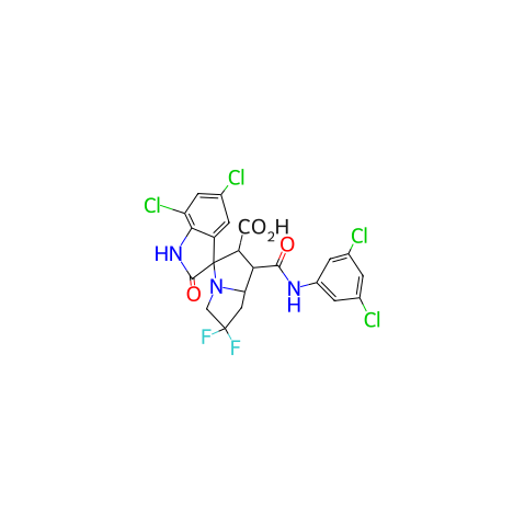 O=C(Nc1cc(Cl)cc(Cl)c1)C1C2CC(F)(F)CN2C2(C(=O)Nc3c(Cl)cc(Cl)cc32)C1C(=O)O